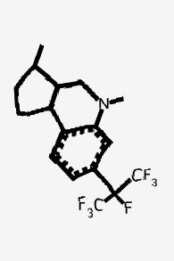 CC1CCC2c3ccc(C(F)(C(F)(F)F)C(F)(F)F)cc3N(C)CC12